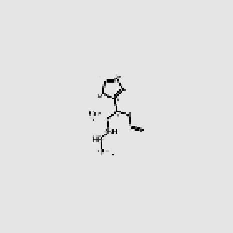 BBBCC(CC=C)C1=CC=CC1.[Co]